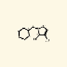 ClC1=CSN(CC2CCCCC2)C1Cl